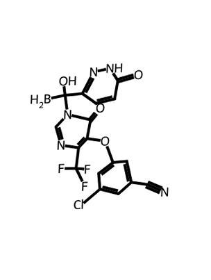 BC(O)(c1ccc(=O)[nH]n1)n1cnc(C(F)(F)F)c(Oc2cc(Cl)cc(C#N)c2)c1=O